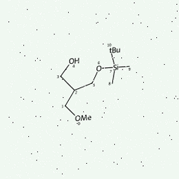 COCC(CO)CO[Si](C)(C)C(C)(C)C